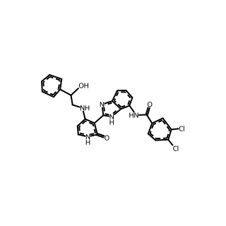 O=C(Nc1cccc2nc(-c3c(NCC(O)c4ccccc4)cc[nH]c3=O)[nH]c12)c1ccc(Cl)c(Cl)c1